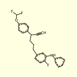 C#CC(CCCc1ccc(F)c(Nc2ccccc2)c1)c1ccc(OC(F)F)cc1